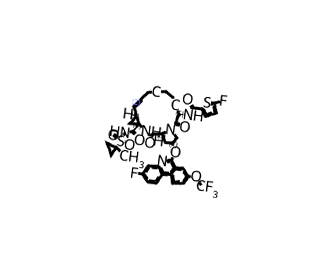 CC1(S(=O)(=O)NC(=O)[C@@]23C[C@H]2/C=C\CCCCC[C@H](NC(=O)c2ccc(F)s2)C(=O)N2C[C@H](Oc4nc5cc(F)ccc5c5ccc(OC(F)(F)F)cc45)C[C@H]2C(=O)N3)CC1